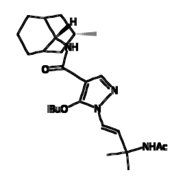 CC(=O)NC(C)(C)/C=C/n1ncc(C(=O)N[C@H]2C3CCCC2C[C@@H](C)C3)c1OCC(C)C